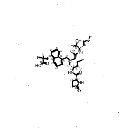 CC[C@H](C)[C@@H](CN(CC(=O)N[C@@H](CCSC)C(=O)O)Cc1cccc2ccccc12)NC(=O)[C@@H]1CCC(=O)N1.O=C(O)C(F)(F)F